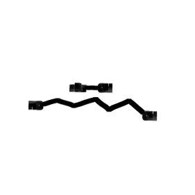 CCCCO.OCCCCCO